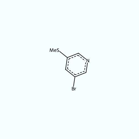 CSc1cncc(Br)c1